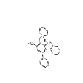 O=c1oc(-c2ccccc2)cc(O)c1CC1(SCC2CCCCC2)C=CC=CC1